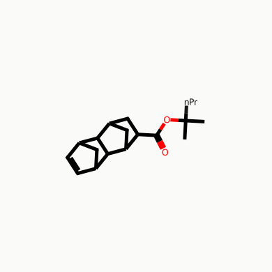 CCCC(C)(C)OC(=O)C1CC2CC1C1C3C=CC(C3)C21